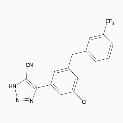 N#Cc1[nH]nnc1-c1cc(Cl)cc(Cc2cccc(C(F)(F)F)c2)c1